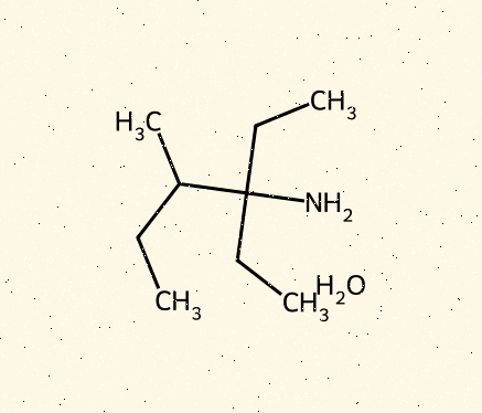 CCC(C)C(N)(CC)CC.O